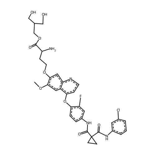 COc1cc2c(Oc3ccc(NC(=O)C4(C(=O)Nc5cccc(Cl)c5)CC4)cc3F)ccnc2cc1OCCC(N)C(=O)OCC(CO)CO